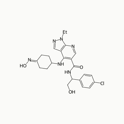 CCn1ncc2c(NC3CCC(=NO)CC3)c(C(=O)NC(CO)c3ccc(Cl)cc3)cnc21